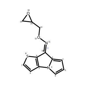 c1cc2n(c1)-c1ccsc1/C2=N\OCC1CO1